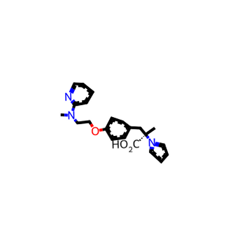 CN(CCOc1ccc(C[C@](C)(C(=O)O)n2cccc2)cc1)c1ccccn1